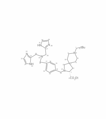 CCOC(=O)[C@H]1CC2(CCN(CC(C)(C)C)CC2)CN1Cc1ccc(CN(Cc2ncc[nH]2)Cc2ncc[nH]2)cc1